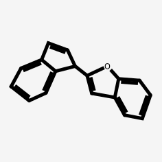 C1=Cc2ccccc2[C]1c1cc2ccccc2o1